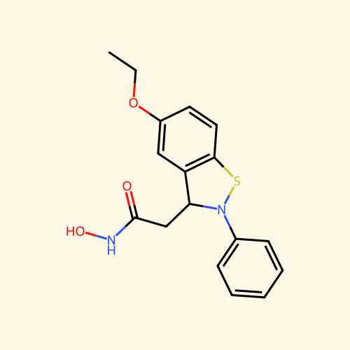 CCOc1ccc2c(c1)C(CC(=O)NO)N(c1ccccc1)S2